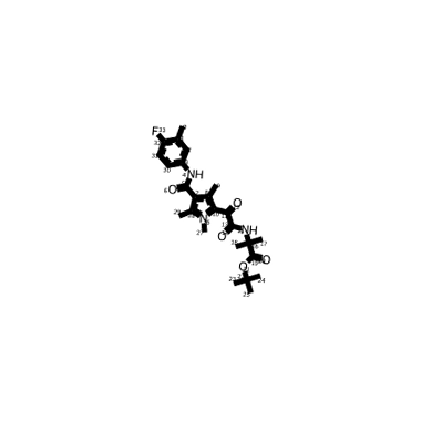 Cc1cc(NC(=O)c2c(C)c(C(=O)C(=O)NC(C)(C)C(=O)OC(C)(C)C)n(C)c2C)ccc1F